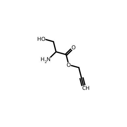 C#CCOC(=O)C(N)CO